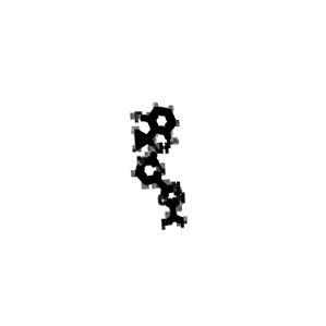 Fc1cccc(F)c1C1(Nc2nccc(-c3nnc(C(F)F)o3)n2)CC1